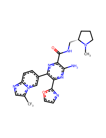 CN1CCC[C@H]1CNC(=O)c1nc(-c2ccc3ncc(C(F)(F)F)n3c2)c(-c2ncco2)nc1N